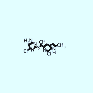 Cc1cc2cc(C(C)Sc3nc(N)cc(Cl)n3)nc(Cl)c2[nH]1